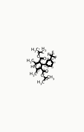 CC1=C(C(=O)OC(C)C)C(c2cccc(C(F)(F)F)c2)C(C(=O)OC(C)C)=C(C)N1